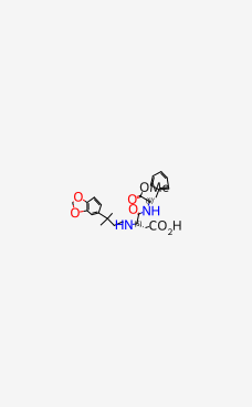 COC(=O)[C@H](Cc1ccccc1)NC(=O)[C@H](CC(=O)O)NCCC(C)(C)c1ccc2c(c1)OCO2